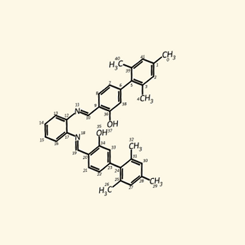 Cc1cc(C)c(-c2ccc(/C=N/c3ccccc3/N=C/c3ccc(-c4c(C)cc(C)cc4C)cc3O)c(O)c2)c(C)c1